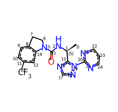 C[C@H](NC(=O)N1CCc2ccc(C(F)(F)F)cc21)c1ncnn1-c1ncccn1